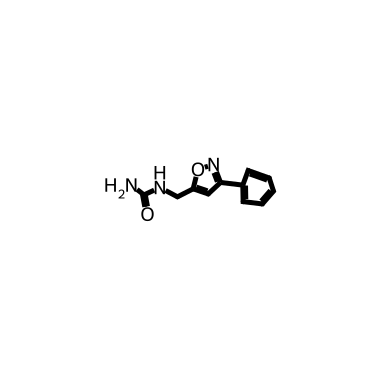 NC(=O)NCc1cc(-c2ccccc2)no1